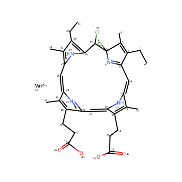 CCC1=C(C)C2(Cl)N=C1C=c1[nH]c(c(CCC(=O)[O-])c1C)=CC1=NC(=Cc3[nH]c(c(CC)c3C)C2Cl)C(C)=C1CCC(=O)[O-].[Mn+2]